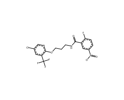 O=C(NCCCOc1ncc(Cl)cc1C(F)(F)F)c1cc([N+](=O)[O-])ccc1F